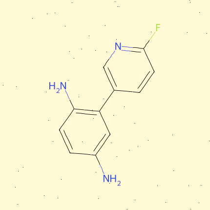 Nc1ccc(N)c(-c2ccc(F)nc2)c1